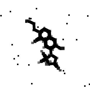 CC(C)CCn1ccc2cc(O)c(N3CC(=O)NS3(=O)=O)cc2c1=O